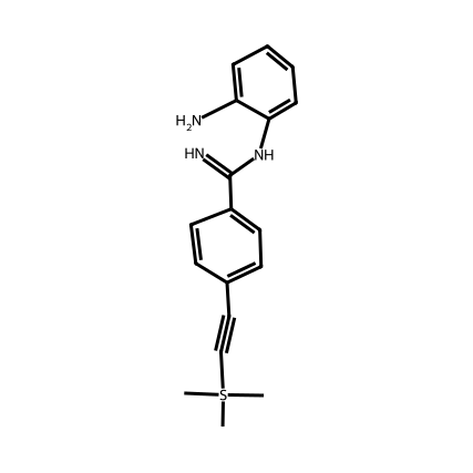 CS(C)(C)C#Cc1ccc(C(=N)Nc2ccccc2N)cc1